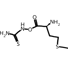 CSCC[C@H](N)C(=O)ONC(N)=S